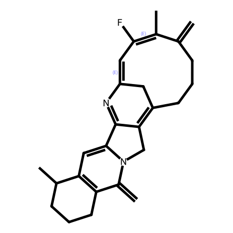 C=C1CCCC2=C3CN4C(=C)C5=C(C=C4C3=N/C(=C/C(F)=C\1C)C2)C(C)CCC5